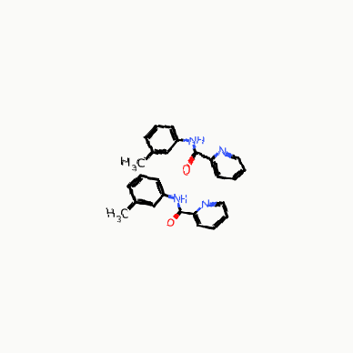 Cc1cccc(NC(=O)c2ccccn2)c1.Cc1cccc(NC(=O)c2ccccn2)c1